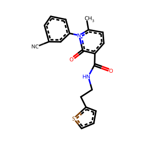 Cc1ccc(C(=O)NCCc2cccs2)c(=O)n1-c1cccc(C#N)c1